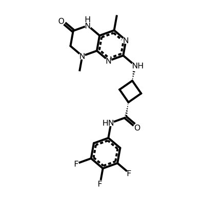 Cc1nc(N[C@H]2C[C@@H](C(=O)Nc3cc(F)c(F)c(F)c3)C2)nc2c1NC(=O)CN2C